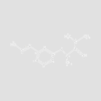 CN(C)C(=N)N(C)Cc1ccnc(/C=N/O)c1